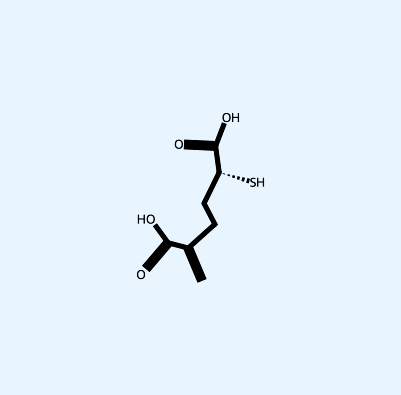 C=C(CC[C@@H](S)C(=O)O)C(=O)O